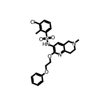 Cc1c(Cl)cccc1S(=O)(=O)Nc1cc2c(nc1OCCOc1ccccc1)CCN(C)C2